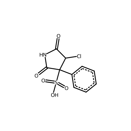 O=C1NC(=O)C(c2ccccc2)(S(=O)(=O)O)C1Cl